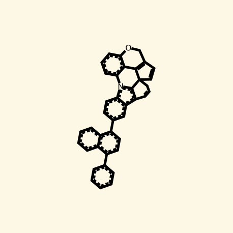 C1=Cc2c3n(c4ccc(-c5ccc(-c6ccccc6)c6ccccc56)cc24)-c2cccc4c2C2=C(C=CC23C1)CO4